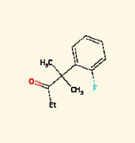 CCC(=O)C(C)(C)c1ccccc1F